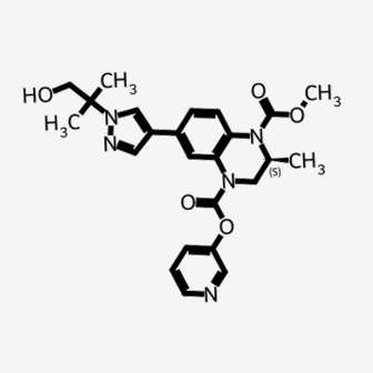 COC(=O)N1c2ccc(-c3cnn(C(C)(C)CO)c3)cc2N(C(=O)Oc2cccnc2)C[C@@H]1C